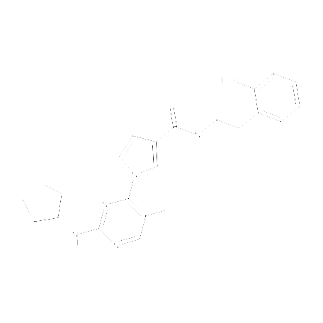 Cc1cnc(NC2CCOC2)nc1-n1ccc(C(=O)NCCc2ccccc2O)c1